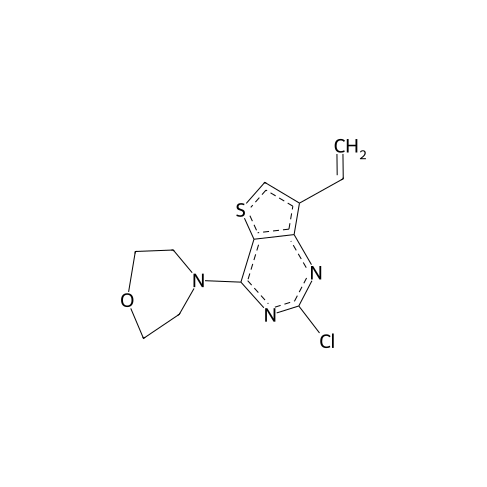 C=Cc1csc2c(N3CCOCC3)nc(Cl)nc12